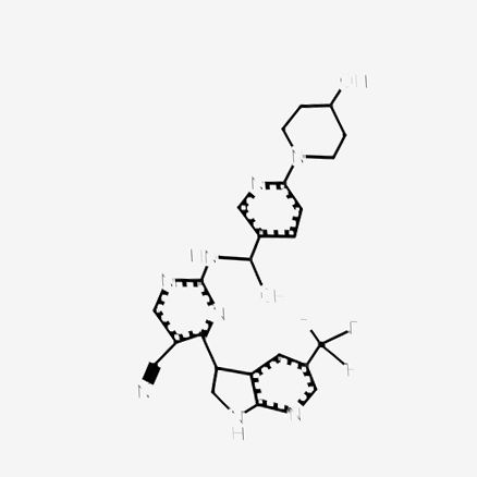 CC(Nc1ncc(C#N)c(C2CNc3ncc(C(F)(F)F)cc32)n1)c1ccc(N2CCC(O)CC2)nc1